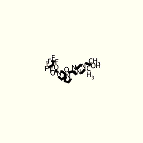 CC(C)(O)CN1CCn2cc(C(=O)N3CCCC34CCN(C(=O)OC(C(F)(F)F)C(F)(F)F)CC4)nc2C1